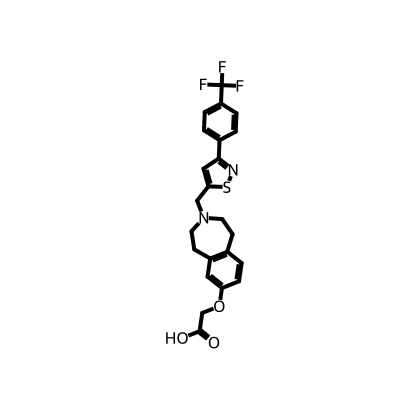 O=C(O)COc1ccc2c(c1)CCN(Cc1cc(-c3ccc(C(F)(F)F)cc3)ns1)CC2